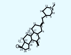 C=C1CC2C/C(=C/CC3CCN(C)CC3)CC[C@]2(C)C2CC[C@]3(C)C(=O)CCC3C12